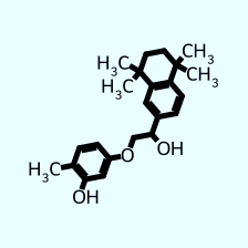 Cc1ccc(OCC(O)c2ccc3c(c2)C(C)(C)CCC3(C)C)cc1O